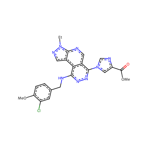 CCn1ncc2c3c(NCc4ccc(OC)c(Cl)c4)nnc(-n4cnc(C(=O)OC)c4)c3cnc21